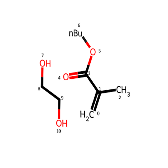 C=C(C)C(=O)OCCCC.OCCO